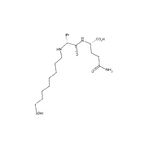 CCCCCCCCCCCCCCCCCCN[C@@H](C(=O)N[C@@H](CCC(N)=O)C(=O)O)C(C)C